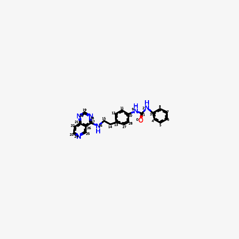 O=C(Nc1ccccc1)Nc1ccc(CCNc2ncnc3ccncc23)cc1